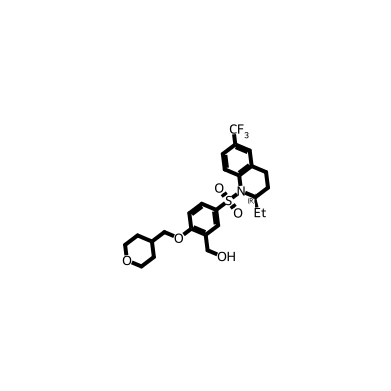 CC[C@@H]1CCc2cc(C(F)(F)F)ccc2N1S(=O)(=O)c1ccc(OCC2CCOCC2)c(CO)c1